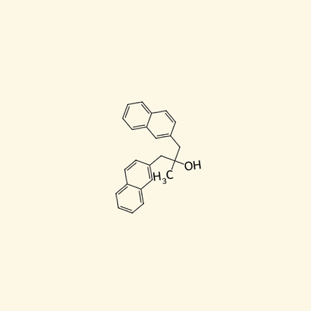 CC(O)(Cc1ccc2ccccc2c1)Cc1ccc2ccccc2c1